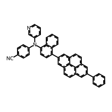 N#Cc1ccc(N(c2cccnc2)c2ccc(-c3cc4ccc5cc(-c6ccccc6)cc6ccc(c3)c4c56)c3ccccc23)cc1